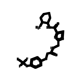 CC1CCCCC1NC(=O)c1coc(CNC(=O)COc2ccc(OC(F)(F)F)cc2)n1